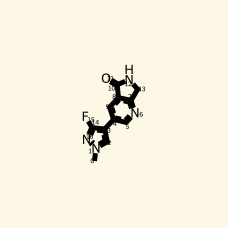 Cn1cc(-c2cnc3c(c2)C(=O)NC3)c(F)n1